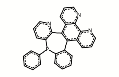 c1ccc(P2c3ccccc3-c3c(c4cccnc4c4ncccc34)-c3ncccc32)cc1